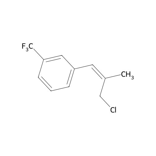 CC(=Cc1cccc(C(F)(F)F)c1)CCl